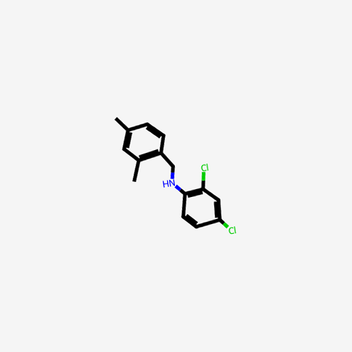 Cc1ccc(CNc2ccc(Cl)cc2Cl)c(C)c1